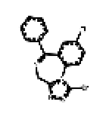 Clc1ccc2c(c1)C(c1ccccc1)=NCc1nnc(Br)n1-2